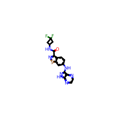 O=C(NC1CC(F)(F)C1)c1nsc2cc(Nc3n[nH]c4nccnc34)ccc12